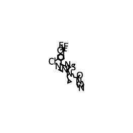 CSc1nc2c(-c3ccc(OC(F)(F)F)cc3Cl)nccn2c1N(CCC(=O)N1C=CN=CC1)CC1CC1